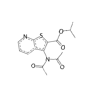 CC(=O)N(C(C)=O)c1c(C(=O)OC(C)C)sc2ncccc12